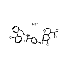 O=C(NCCc1ccccc1-c1ccccc1Cl)c1ccc(Oc2cc3c(cc2Cl)C(C(=O)[O-])CCO3)cc1.[Na+]